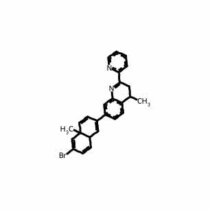 CC1CC(c2ccccn2)=Nc2cc(C3=CC4C=CC(Br)=CC4(C)C=C3)ccc21